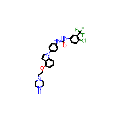 O=C(Nc1ccc(-n2ccc3c(OCCN4CCNCC4)cccc32)cc1)Nc1ccc(Cl)c(C(F)(F)F)c1